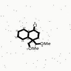 COCC1(COC)CCC(Cl)C2CCCCC21